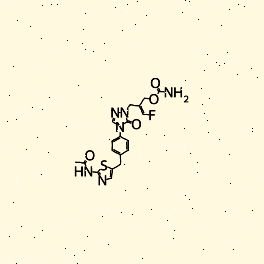 CC(=O)Nc1ncc(Cc2ccc(-n3cnn(CC(=CF)COC(N)=O)c3=O)cc2)s1